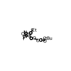 CCSc1ccc(Oc2cccc(OCCOC3CCN(C(=O)OC(C)(C)C)CC3)c2)c(-c2cn(C)c(=O)c3c2ccn3SI)c1